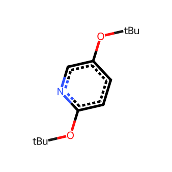 CC(C)(C)Oc1ccc(OC(C)(C)C)nc1